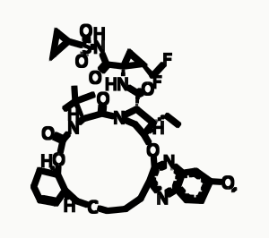 CC[C@@H]1[C@@H]2CN(C(=O)[C@H](C(C)(C)C)NC(=O)O[C@@H]3CCC=C[C@H]3CCCCCc3nc4ccc(OC)cc4nc3O2)[C@@H]1C(=O)N[C@]1(C(=O)NS(=O)(=O)C2CC2)C[C@H]1C(F)F